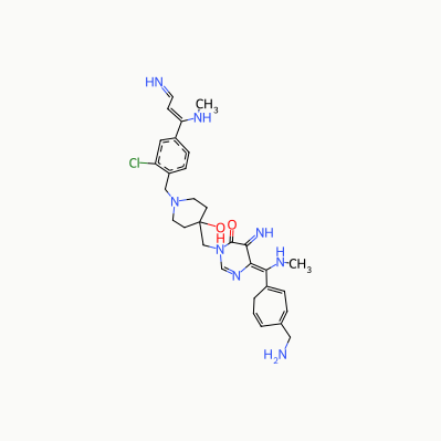 CN/C(=C\C=N)c1ccc(CN2CCC(O)(CN3C=N/C(=C(/NC)C4=CC=C(CN)C=CC4)C(=N)C3=O)CC2)c(Cl)c1